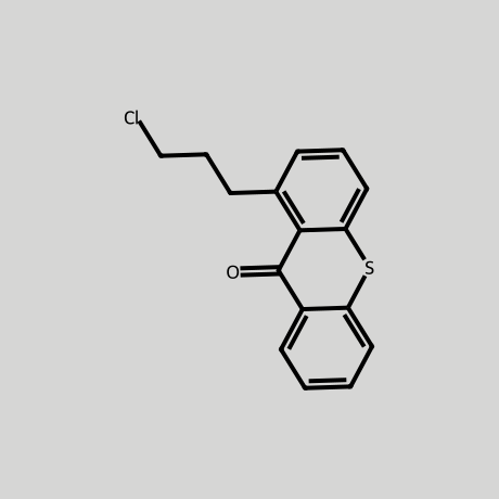 O=c1c2ccccc2sc2cccc(CCCCl)c12